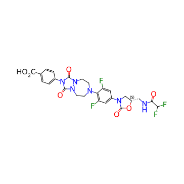 O=C(O)c1ccc(-n2c(=O)n3n(c2=O)CCN(c2c(F)cc(N4C[C@H](CNC(=O)C(F)F)OC4=O)cc2F)CC3)cc1